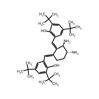 CC(C)(C)c1cc(C=C2CC[C@@H](N)[C@H](N)C2=Cc2cc(C(C)(C)C)cc(C(C)(C)C)c2O)c(O)c(C(C)(C)C)c1